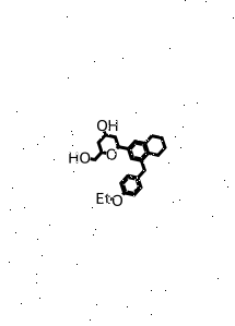 CCOc1ccc(Cc2cc(C3CC(O)CC(CO)O3)cc3c2CCCC3)cc1